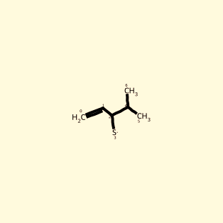 C=CC([S])C(C)C